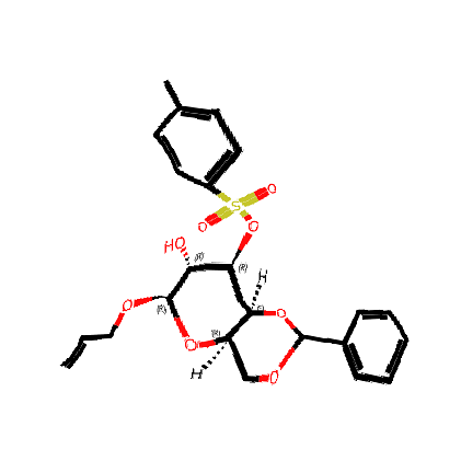 C=CCO[C@@H]1O[C@@H]2COC(c3ccccc3)O[C@@H]2[C@H](OS(=O)(=O)c2ccc(C)cc2)[C@H]1O